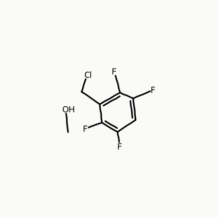 CO.Fc1cc(F)c(F)c(CCl)c1F